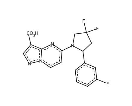 O=C(O)c1cnn2ccc(N3CC(F)(F)CC3c3cccc(F)c3)nc12